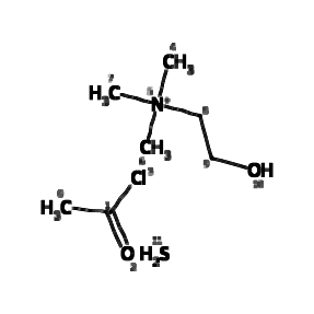 CC(=O)Cl.C[N+](C)(C)CCO.S